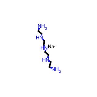 NCCNCCNCCNCCN.[Na]